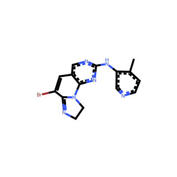 Cc1ccncc1Nc1ncc2c(n1)N1CCN=C1C(Br)=C2